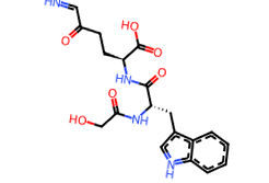 N=CC(=O)CC[C@H](NC(=O)[C@H](Cc1c[nH]c2ccccc12)NC(=O)CO)C(=O)O